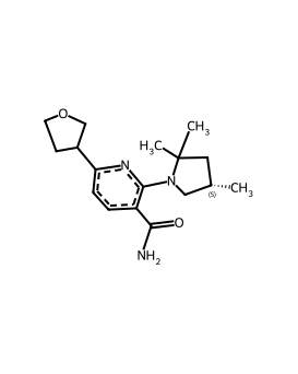 C[C@@H]1CN(c2nc(C3CCOC3)ccc2C(N)=O)C(C)(C)C1